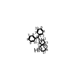 c1ccc(C(c2ccccc2)N2CCC3(CNCCO3)C2)cc1